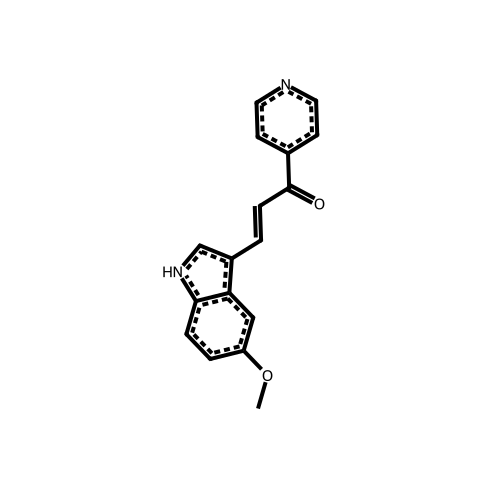 COc1ccc2[nH]cc(C=CC(=O)c3ccncc3)c2c1